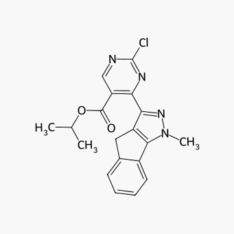 CC(C)OC(=O)c1cnc(Cl)nc1-c1nn(C)c2c1Cc1ccccc1-2